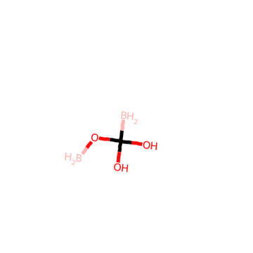 BOC(B)(O)O